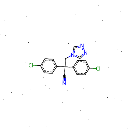 N#CC(Cn1cnnc1)(c1ccc(Cl)cc1)c1ccc(Cl)cc1